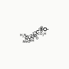 CON=C(C(=O)NC1C(=O)N2C(C(=O)O)=C(C=COS(=O)(=O)c3ccc(C)cc3)CS[C@@H]12)c1nsc(N)n1